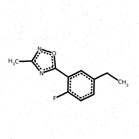 CCc1ccc(F)c(-c2nc(C)no2)c1